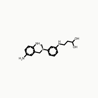 CN(Cc1cc(N)ccc1N)c1cccc(NCCC(O)O)c1